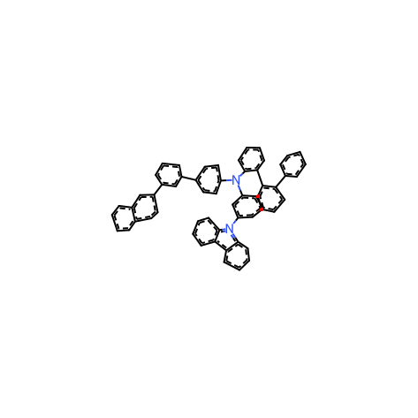 c1ccc(-c2ccccc2-c2ccccc2N(c2ccc(-c3cccc(-c4ccc5ccccc5c4)c3)cc2)c2cccc(-n3c4ccccc4c4ccccc43)c2)cc1